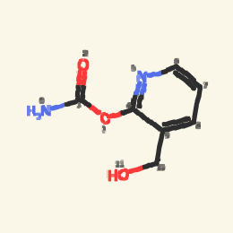 NC(=O)Oc1ncccc1CO